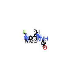 [2H]c1cc(-c2ccc3nnn(CCF)c3c2)c2c(OC)nc(NC3CCC4(CC3)COC4)nn12